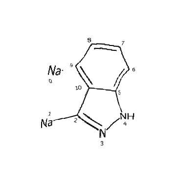 [Na].[Na][c]1n[nH]c2ccccc12